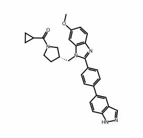 COc1ccc2nc(-c3ccc(-c4ccc5[nH]ncc5c4)cc3)n(C[C@@H]3CCN(C(=O)C4CC4)C3)c2c1